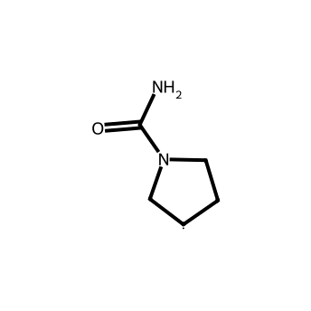 NC(=O)N1C[CH]CC1